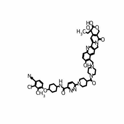 CC[C@@]1(O)C(=O)OCc2c1cc1n(c2=O)Cc2cc3c(CN4CCN(C(=O)C5CCN(c6ccc(C(=O)NC7CCC(Oc8ccc(C#N)c(Cl)c8C)CC7)nn6)CC5)CC4)c(O)ccc3nc2-1